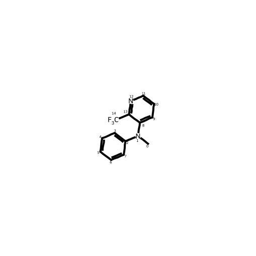 CN(c1ccccc1)c1cccnc1C(F)(F)F